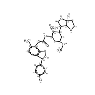 Cc1ncc2c(c1OC(=O)O[C@@H]1CC(O[N+](=O)[O-])CC(C3CO[C@H]4CCOC34)N1C(=O)O)COC2c1ccc(Cl)cc1